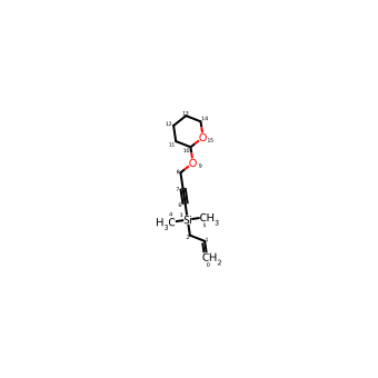 C=CC[Si](C)(C)C#CCOC1CCCCO1